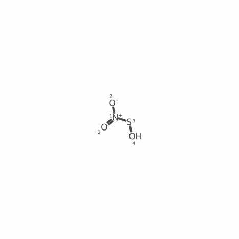 O=[N+]([O-])SO